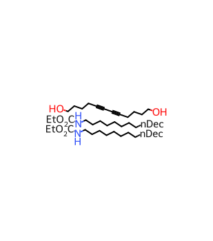 CCCCCCCCCCCCCCCCCCNC(=O)OCC.CCCCCCCCCCCCCCCCCCNC(=O)OCC.OCCCCC#CC#CCCCCO